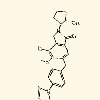 COc1c(Cc2ccc(-n3cccn3)cc2)cc2c(c1Cl)CN([C@H]1CCC[C@@H]1O)C2=O